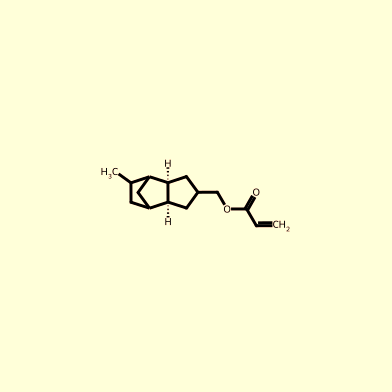 C=CC(=O)OCC1C[C@@H]2C3CC(CC3C)[C@@H]2C1